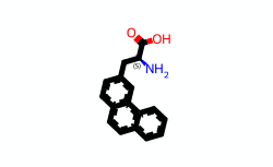 N[C@@H](Cc1ccc2ccc3ccccc3c2c1)C(=O)O